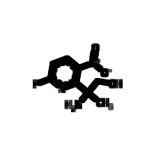 CC(N)(CO)c1nc(F)ccc1[N+](=O)[O-]